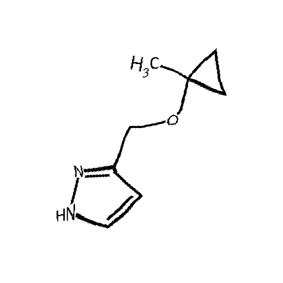 CC1(OCc2cc[nH]n2)CC1